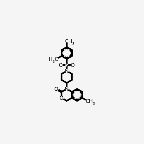 Cc1ccc(S(=O)(=O)N2CCC(N3C(=O)OCc4cc(C)ccc43)CC2)c(C)c1